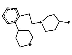 FC1CCN(CCc2ccccc2C2CCNCC2)CC1